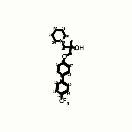 CC(O)(COc1ccc(-c2ccc(C(F)(F)F)cc2)cc1)CN1CCCCC1